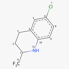 FC(F)(F)C1CCc2cc(Cl)ccc2N1